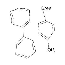 COc1ccc(O)cc1.c1ccc(-c2ccccc2)cc1